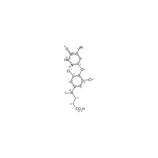 CC(C)c1cc(Oc2c(Cl)cc(N(C)CCC(=O)O)cc2Cl)n[nH]c1=O